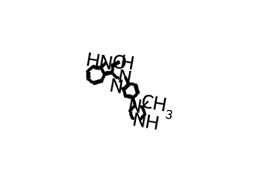 C[C@H]1CNCCN1c1ccc2[nH]c(-c3c4cccccc-4[nH]c3=O)nc2c1